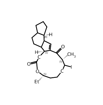 CC[C@H]1CCCC(I)[C@@H](C)C(=O)C2=CC3C(CCC4CCC[C@H]43)[C@@H]2CC(=O)O1